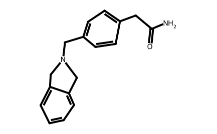 NC(=O)Cc1ccc(CN2Cc3ccccc3C2)cc1